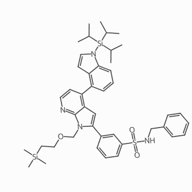 CC(C)[Si](C(C)C)(C(C)C)n1ccc2c(-c3ccnc4c3cc(-c3cccc(S(=O)(=O)NCc5ccccc5)c3)n4COCC[Si](C)(C)C)cccc21